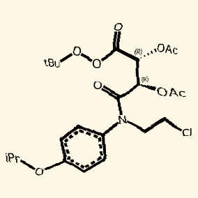 CC(=O)O[C@@H](C(=O)OOC(C)(C)C)[C@@H](OC(C)=O)C(=O)N(CCCl)c1ccc(OC(C)C)cc1